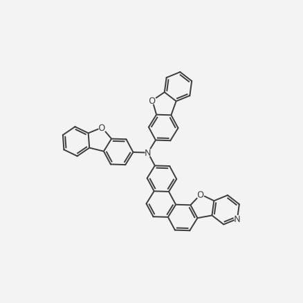 c1ccc2c(c1)oc1cc(N(c3ccc4c(ccc5ccc6c7cnccc7oc6c54)c3)c3ccc4c(c3)oc3ccccc34)ccc12